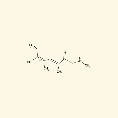 C=C/C(Br)=C(C)\C=C(/C)C(=O)CBC